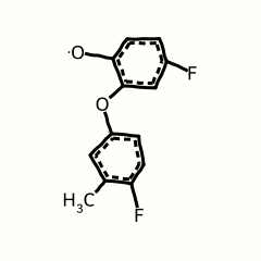 Cc1cc(Oc2cc(F)ccc2[O])ccc1F